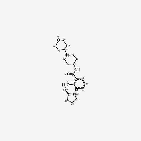 Cc1c(C(=O)NC2CCN(C3CCOCC3)CC2)cccc1N1CCCC1=O